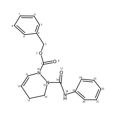 O=C(OCc1ccccc1)N1C=CCCN1C(=O)Nc1ccccc1